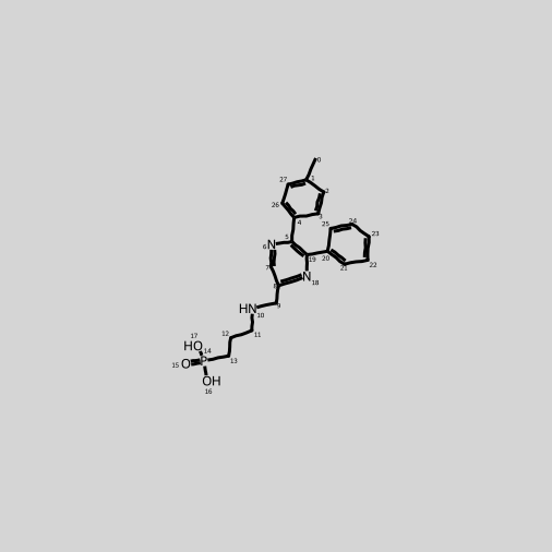 Cc1ccc(-c2ncc(CNCCCP(=O)(O)O)nc2-c2ccccc2)cc1